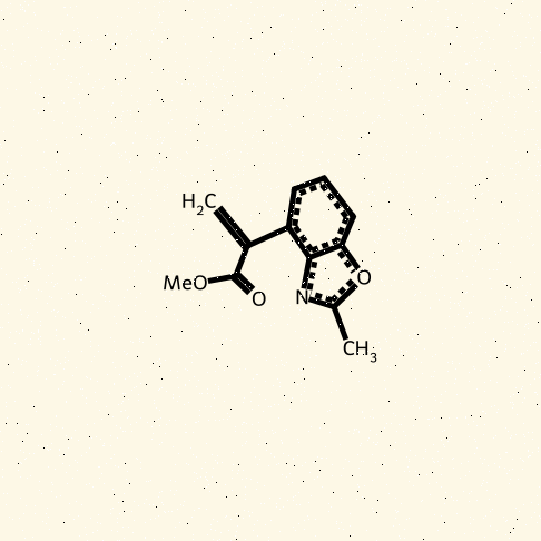 C=C(C(=O)OC)c1cccc2oc(C)nc12